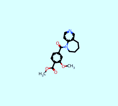 COC(=O)c1ccc(C(=O)N2CCCCc3cnccc32)cc1OC